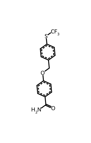 NC(=O)c1ccc(OCc2ccc(SC(F)(F)F)cc2)cc1